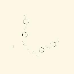 CN(C)c1ccc(/N=N/c2ccc(SNC(CSSCC(N[S+]([O-])c3ccc(/N=N/c4ccc(N(C)C)cc4)cc3)C(=O)O)C(=O)O)cc2)cc1